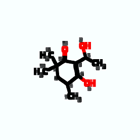 CC(O)C1=C(O)C(C)CC(C)(C)C1=O